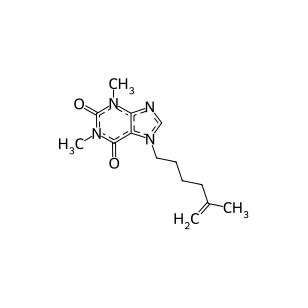 C=C(C)CCCCn1cnc2c1c(=O)n(C)c(=O)n2C